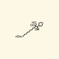 CCCCCCCCCCCCCCCCCCC(O)C(O)(CO)C(=O)N1CCOCC1